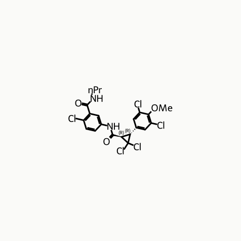 CCCNC(=O)c1cc(NC(=O)[C@H]2[C@H](c3cc(Cl)c(OC)c(Cl)c3)C2(Cl)Cl)ccc1Cl